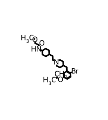 COCC(=O)NC1CCC(CCN2CCC(Cc3cc(OC(C)C)ccc3Br)CC2)CC1